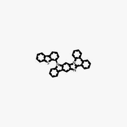 c1ccc2c(c1)sc1c(-n3c4ccccc4c4cc5nc6c7ccccc7c7ccccc7n6c5cc43)cccc12